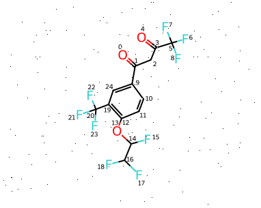 O=C(CC(=O)C(F)(F)F)c1ccc(OC(F)C(F)F)c(C(F)(F)F)c1